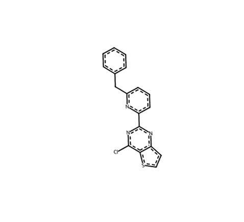 Clc1nc(-c2cccc(Cc3ccccc3)n2)nc2ccsc12